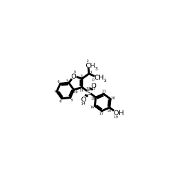 CC(C)c1oc2ccccc2c1S(=O)(=O)c1ccc(O)cc1